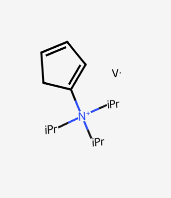 CC(C)[N+](C1=CC=CC1)(C(C)C)C(C)C.[V]